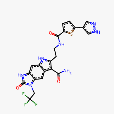 NC(=O)c1c(CCNC(=O)c2ccc(-c3cn[nH]c3)s2)[nH]c2cc3[nH]c(=O)n(CC(F)(F)F)c3cc12